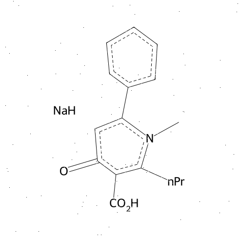 CCCc1c(C(=O)O)c(=O)cc(-c2ccccc2)n1C.[NaH]